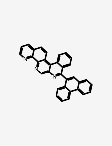 c1ccc2c(c1)cc(-c1nc3cnc4c(ccc5cccnc54)c3c3ccccc13)c1ccccc12